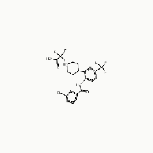 O=C(Nc1ccc(C(F)(F)F)nc1C1CCNCC1)c1ccnc(Cl)c1.O=C(O)C(F)(F)F